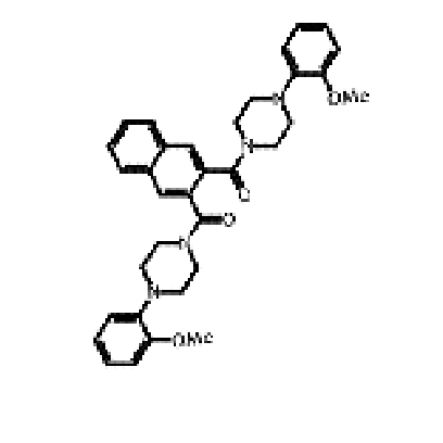 COc1ccccc1N1CCN(C(=O)c2cc3ccccc3cc2C(=O)N2CCN(c3ccccc3OC)CC2)CC1